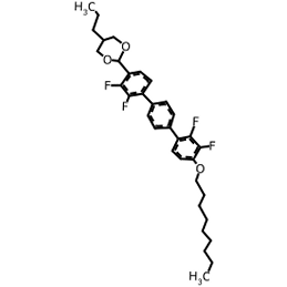 CCCCCCCCCOc1ccc(-c2ccc(-c3ccc(C4OCC(CCC)CO4)c(F)c3F)cc2)c(F)c1F